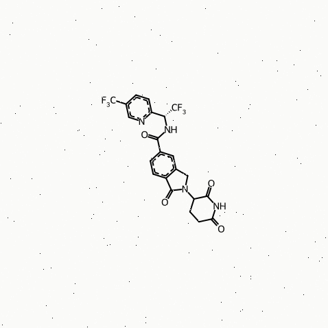 O=C1CCC(N2Cc3cc(C(=O)N[C@H](c4ccc(C(F)(F)F)cn4)C(F)(F)F)ccc3C2=O)C(=O)N1